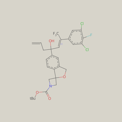 C=CCC(O)(/C=C(/c1cc(Cl)c(F)c(Cl)c1)C(F)(F)F)c1ccc2c(c1)COC21CN(C(=O)OC(C)(C)C)C1